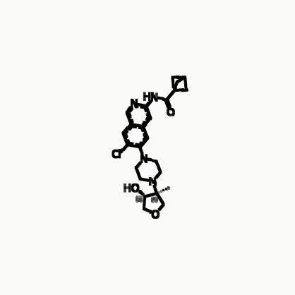 C[C@]1(N2CCN(c3cc4cc(NC(=O)C56CC(C5)C6)ncc4cc3Cl)CC2)COC[C@H]1O